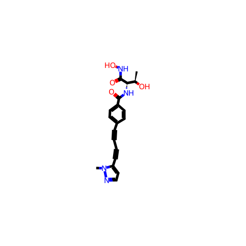 C[C@@H](O)[C@H](NC(=O)c1ccc(C#CC#Cc2ccnn2C)cc1)C(=O)NO